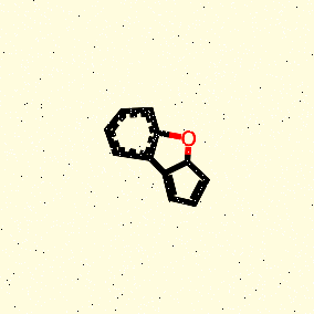 C1=CC2Oc3ccccc3C2=C1